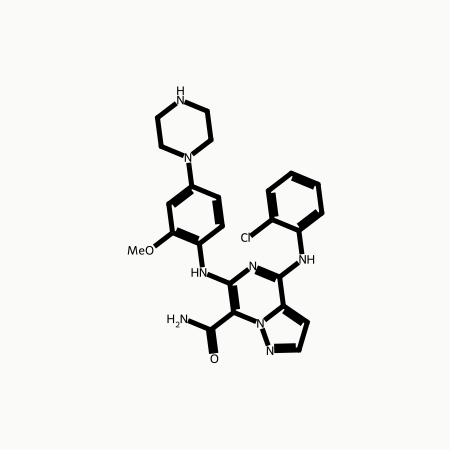 COc1cc(N2CCNCC2)ccc1Nc1nc(Nc2ccccc2Cl)c2ccnn2c1C(N)=O